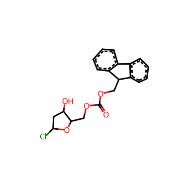 O=C(OCC1c2ccccc2-c2ccccc21)OCC1OC(Cl)CC1O